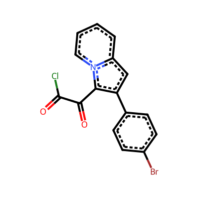 O=C(Cl)C(=O)c1c(-c2ccc(Br)cc2)cc2ccccn12